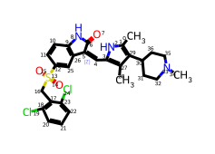 Cc1[nH]c(/C=C2\C(=O)Nc3ccc(S(=O)(=O)Cc4c(Cl)cccc4Cl)cc32)c(C)c1C1CCN(C)CC1